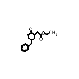 CCOC(=O)CC1CC(Cc2ccccc2)CCC1=O